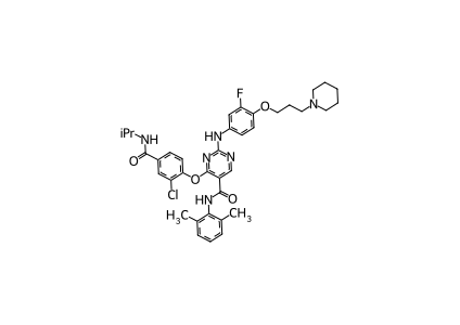 Cc1cccc(C)c1NC(=O)c1cnc(Nc2ccc(OCCCN3CCCCC3)c(F)c2)nc1Oc1ccc(C(=O)NC(C)C)cc1Cl